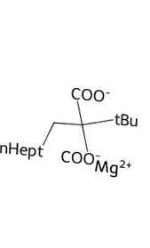 CCCCCCCCC(C(=O)[O-])(C(=O)[O-])C(C)(C)C.[Mg+2]